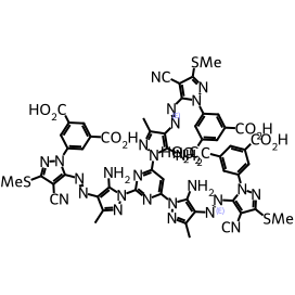 [C-]#[N+]c1c(SC)nn(-c2cc(C(=O)O)cc(C(=O)O)c2)c1/N=N/c1c(C)nn(-c2cc(-n3nc(C)c(/N=N/c4c(C#N)c(SC)nn4-c4cc(C(=O)O)cc(C(=O)O)c4)c3N)nc(-n3nc(C)c(N=Nc4c(C#N)c(SC)nn4-c4cc(C(=O)O)cc(C(=O)O)c4)c3N)n2)c1N